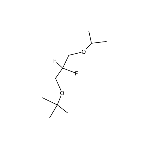 CC(C)OCC(F)(F)COC(C)(C)C